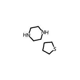 C1CCSC1.C1CNCCN1